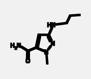 CCCNc1cc(C(N)=O)n(C)n1